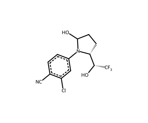 N#Cc1ccc(N2C(O)CC[C@@H]2[C@@H](O)C(F)(F)F)cc1Cl